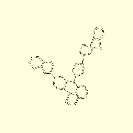 c1ccc(-c2ccc(-c3ccc4ccccc4c3)cc2N(c2ccccc2)c2ccc(-c3ccc4c(c3)oc3ccccc34)cc2)cc1